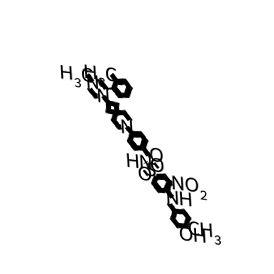 Cc1ccccc1[C@@H]1CN(C)CCN1C1CC2(CCN(c3ccc(C(=O)NS(=O)(=O)c4ccc(NCC5CCC(C)(O)CC5)c([N+](=O)[O-])c4)cc3)CC2)C1